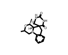 CC1CN2c3ccccc3CC3(C(=O)NC(=O)NC3=O)[C@H]2[C@H](C)O1